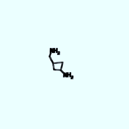 NCC1CC(N)C1